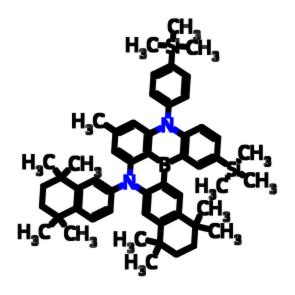 Cc1cc2c3c(c1)N(c1ccc4c(c1)C(C)(C)CCC4(C)C)c1cc4c(cc1B3c1cc([Si](C)(C)C)ccc1N2c1ccc([Si](C)(C)C)cc1)C(C)(C)CCC4(C)C